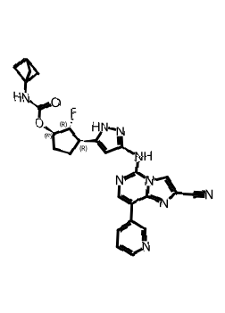 N#Cc1cn2c(Nc3cc([C@H]4CC[C@@H](OC(=O)NC56CC(C5)C6)[C@@H]4F)[nH]n3)ncc(-c3cccnc3)c2n1